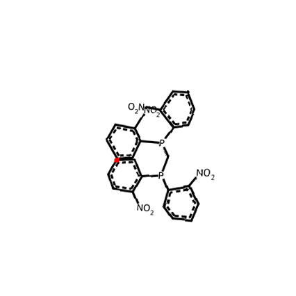 O=[N+]([O-])c1ccccc1P(CP(c1ccccc1[N+](=O)[O-])c1ccccc1[N+](=O)[O-])c1ccccc1[N+](=O)[O-]